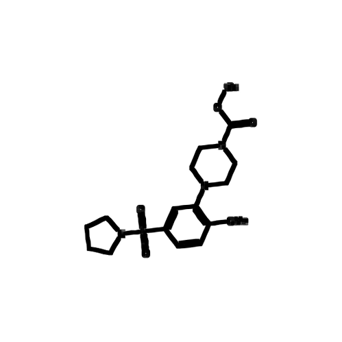 COc1ccc(S(=O)(=O)N2CCCC2)cc1N1CCN(C(=O)OC(C)(C)C)CC1